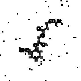 CCOC(=O)/C=C/C(=O)OCC(=O)Oc1ccccc1C=O